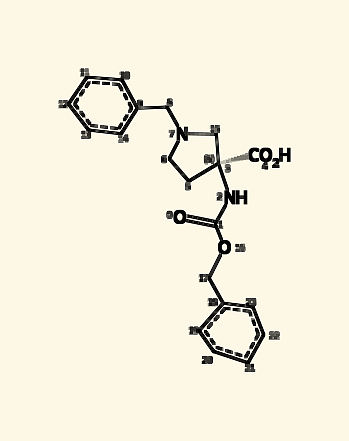 O=C(N[C@@]1(C(=O)O)CCN(Cc2ccccc2)C1)OCc1ccccc1